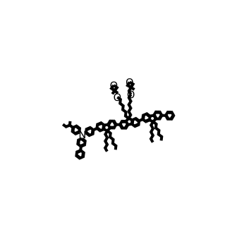 CCCCCCC1(CCCCCC)c2cc(-c3ccccc3)ccc2-c2ccc(-c3ccc4c(c3)C(CCCCCCOCC3(C)COC3)(CCCCCCOCC3(C)COC3)c3cc(-c5ccc6c(c5)C(CCCCCC)(CCCCCC)c5cc(-c7ccc(N(c8ccc(-c9ccccc9)cc8)c8ccc(C(C)CC)cc8)cc7)ccc5-6)ccc3-4)cc21